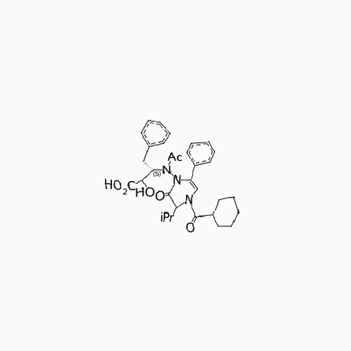 CC(=O)N([C@@H](Cc1ccccc1)C(O)C(=O)O)N1C(=O)C(C(C)C)N(C(=O)C2CCCCC2)C=C1c1ccccc1